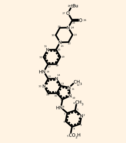 Cc1ncc(C(=O)O)cc1Nc1nn(C)c2nc(Nc3ccc(N4CCN(C(=O)OC(C)(C)C)CC4)nc3)ncc12